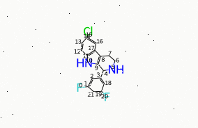 FC1=CC(C2NCCc3c2[nH]c2ccc(Cl)cc32)=CC(F)C1